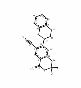 CC1(C)CC(=O)c2cc(C#N)c(N3CCc4ccccc4C3)nc2C1